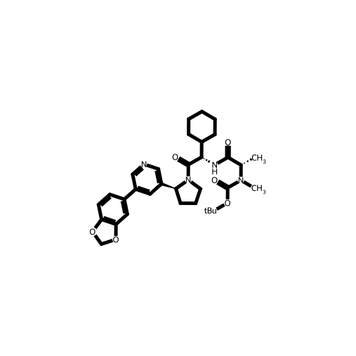 C[C@@H](C(=O)N[C@H](C(=O)N1CCC[C@H]1c1cncc(-c2ccc3c(c2)OCO3)c1)C1CCCCC1)N(C)C(=O)OC(C)(C)C